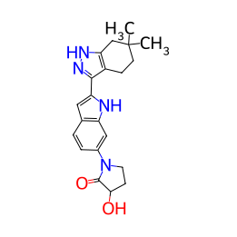 CC1(C)CCc2c(-c3cc4ccc(N5CCC(O)C5=O)cc4[nH]3)n[nH]c2C1